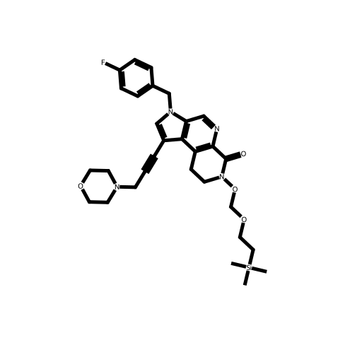 C[Si](C)(C)CCOCON1CCc2c(ncc3c2c(C#CCN2CCOCC2)cn3Cc2ccc(F)cc2)C1=O